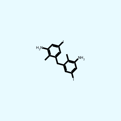 Cc1c(N)cc(I)cc1Cc1cc(I)cc(N)c1C